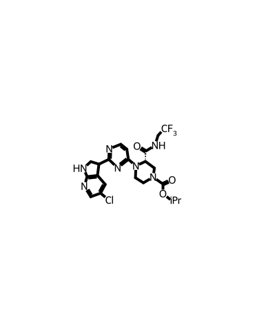 CC(C)OC(=O)N1CCN(c2ccnc(C3CNc4ncc(Cl)cc43)n2)[C@H](C(=O)NCC(F)(F)F)C1